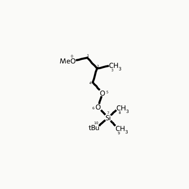 COCC(C)COO[Si](C)(C)C(C)(C)C